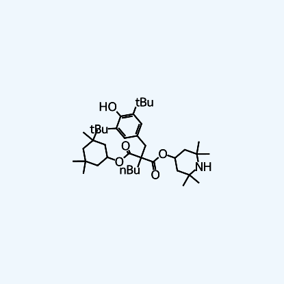 CCCCC(Cc1cc(C(C)(C)C)c(O)c(C(C)(C)C)c1)(C(=O)OC1CC(C)(C)CC(C)(C)C1)C(=O)OC1CC(C)(C)NC(C)(C)C1